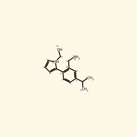 CC(C)c1ccc(C2=CC=C[SH]2CO)c(CN)c1